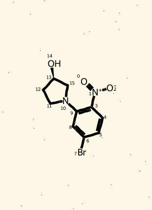 O=[N+]([O-])c1ccc(Br)cc1N1CC[C@@H](O)C1